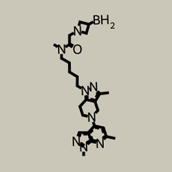 BC1CN(CC(=O)N(C)CCCCCn2nc(C)c3c2CCN(c2cc(C)nc4c2cnn4C)C3)C1